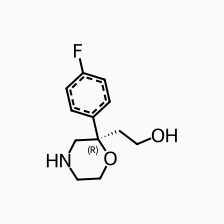 OCC[C@@]1(c2ccc(F)cc2)CNCCO1